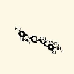 COC(=O)C(CC(=O)N1CCC(N2Cc3cc(O)ccc3NC2=O)CC1)Cc1cc(Cl)c(N)c(C(F)(F)F)c1